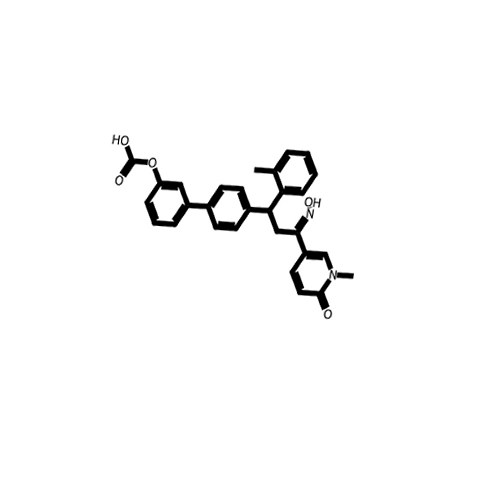 Cc1ccccc1C(C/C(=N\O)c1ccc(=O)n(C)c1)c1ccc(-c2cccc(OC(=O)O)c2)cc1